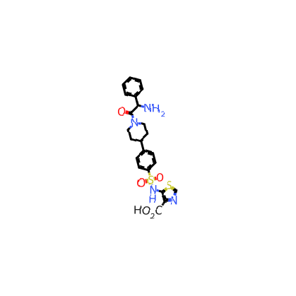 NC(C(=O)N1CCC(c2ccc(S(=O)(=O)Nc3scnc3C(=O)O)cc2)CC1)c1ccccc1